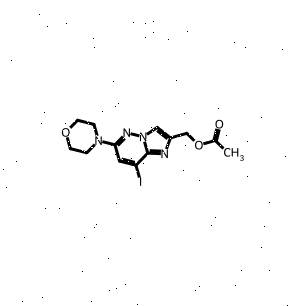 CC(=O)OCc1cn2nc(N3CCOCC3)cc(I)c2n1